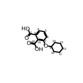 O=C(O)c1cccc(OC2CCCCC2)c1C(=O)O